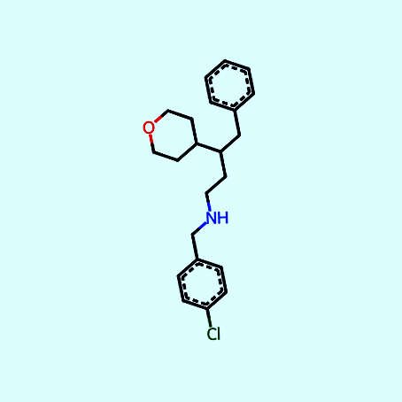 Clc1ccc(CNCCC(Cc2ccccc2)C2CCOCC2)cc1